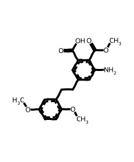 COC(=O)c1c(N)cc(CCc2cc(OC)ccc2OC)cc1C(=O)O